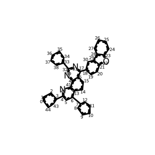 c1ccc(-c2cc(-c3ccccc3)c3ccc4c(-c5ccc6oc7ccccc7c6c5)nc(-c5ccccc5)nc4c3n2)cc1